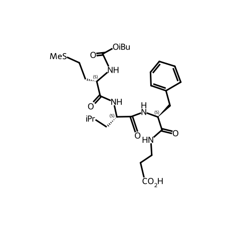 CSCC[C@H](NC(=O)OCC(C)C)C(=O)N[C@@H](CC(C)C)C(=O)N[C@@H](Cc1ccccc1)C(=O)NCCC(=O)O